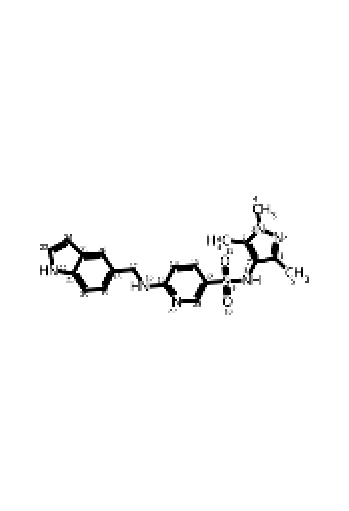 Cc1nn(C)c(C)c1NS(=O)(=O)c1ccc(NCc2ccc3[nH]ccc3c2)nc1